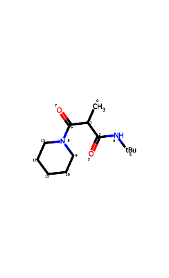 C[C](C(=O)NC(C)(C)C)C(=O)N1CCCCC1